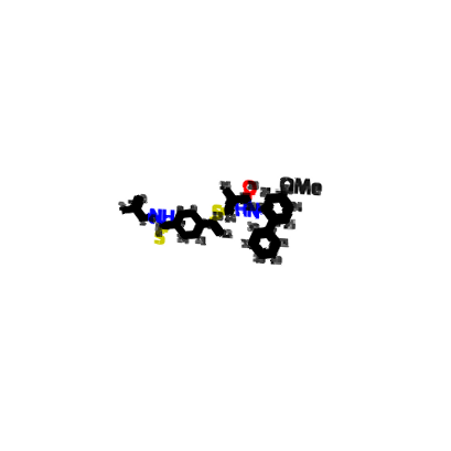 C=C(C)CNC(=S)C1CCC(C(=C)S/C=C(\C)C(=O)Nc2cc(OC)ccc2-c2ccccc2)CC1